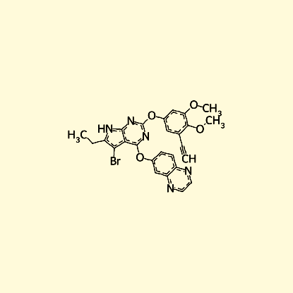 C#Cc1cc(Oc2nc(Oc3ccc4nccnc4c3)c3c(Br)c(CC)[nH]c3n2)cc(OC)c1OC